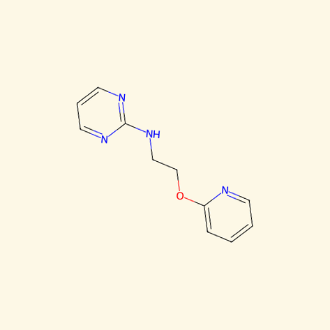 c1ccc(OCCNc2ncccn2)nc1